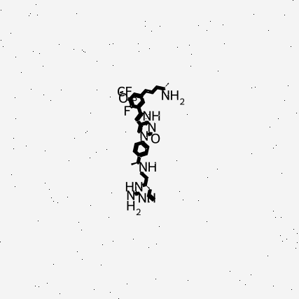 C=CC[C@@H](CCN[C@@H](C)c1ccc(-n2cc3cc(-c4cc(CCC[C@H](C)N)cc(OC(F)(F)F)c4F)[nH]c3nc2=O)cc1)NC(=N)N